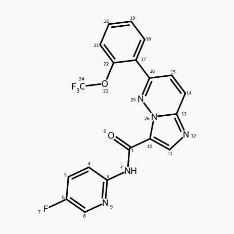 O=C(Nc1ccc(F)cn1)c1cnc2ccc(-c3ccccc3OC(F)(F)F)nn12